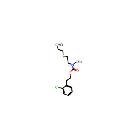 CC(C)(C)N(CCSCCC=O)C(=O)OCCc1ccccc1Cl